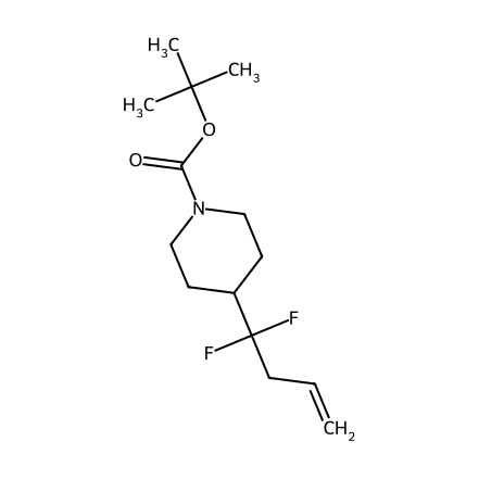 C=CCC(F)(F)C1CCN(C(=O)OC(C)(C)C)CC1